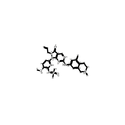 C=CCn1c(=O)c2cnc(Nc3cc(C)c4c(c3)CN(C)CC4)nc2n1-c1ccc(OC)c(N=S(C)(C)=O)n1